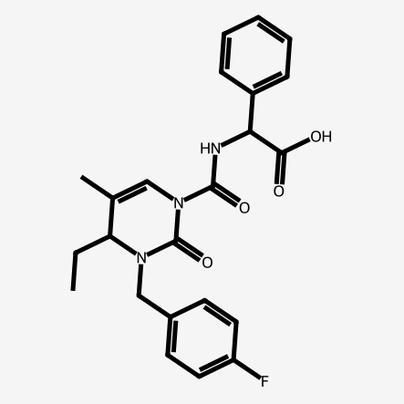 CCC1C(C)=CN(C(=O)NC(C(=O)O)c2ccccc2)C(=O)N1Cc1ccc(F)cc1